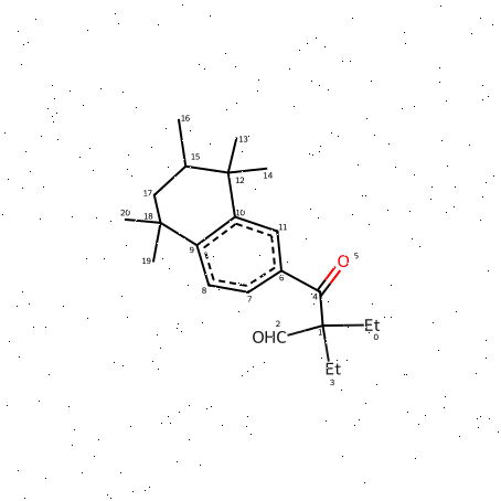 CCC(C=O)(CC)C(=O)c1ccc2c(c1)C(C)(C)C(C)CC2(C)C